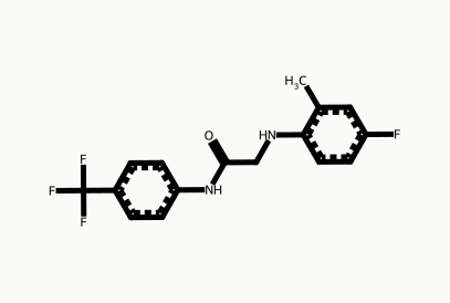 Cc1cc(F)ccc1NCC(=O)Nc1ccc(C(F)(F)F)cc1